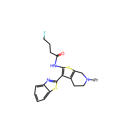 CC(C)N1CCc2c(sc(NC(=O)CCCF)c2-c2nc3ccccc3s2)C1